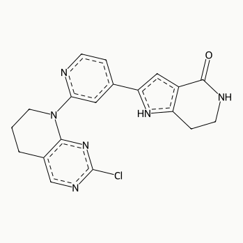 O=C1NCCc2[nH]c(-c3ccnc(N4CCCc5cnc(Cl)nc54)c3)cc21